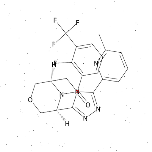 Cc1cccc(-c2nnc3n2C[C@@H]2COC[C@H]3N2C(=O)c2cccc(C(F)(F)F)c2F)n1